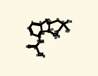 CC(=O)Nc1cccc2nc(CC(F)(F)F)n(C)c12